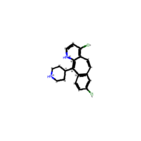 ClC1=C2C=Cc3cc(Cl)ccc3C(C3CCNCC3)=C2NC=C1